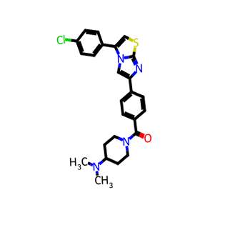 CN(C)C1CCN(C(=O)c2ccc(-c3cn4c(-c5ccc(Cl)cc5)csc4n3)cc2)CC1